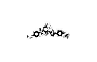 Cc1ccc(S(=O)(=O)[C@@H](CC(C)C)C(=O)Nc2nc(-c3ccc(OC(F)(F)F)cc3)cs2)cc1